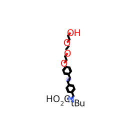 CC(C)(C)N(Cc1ccc(/C=C/c2ccc(OCCOCCOCCO)cc2)cc1)C(=O)O